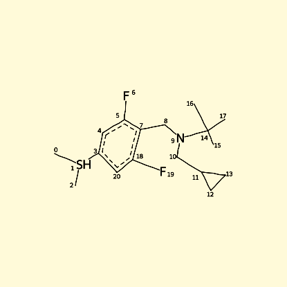 C[SH](C)c1cc(F)c(CN(CC2CC2)C(C)(C)C)c(F)c1